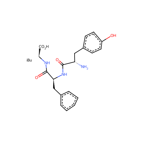 CC[C@H](C)[C@H](NC(=O)[C@H](Cc1ccccc1)NC(=O)[C@@H](N)Cc1ccc(O)cc1)C(=O)O